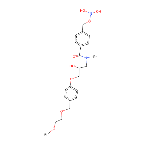 CC(C)OCCOCc1ccc(OCC(O)CN(C(=O)c2ccc(CON(O)O)cc2)C(C)C)cc1